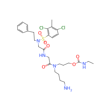 CCNC(=O)OCCCN(CCCCN)C(=O)CNC(=O)CN(CCc1ccccc1)S(=O)(=O)c1ccc(Cl)c(C)c1Cl